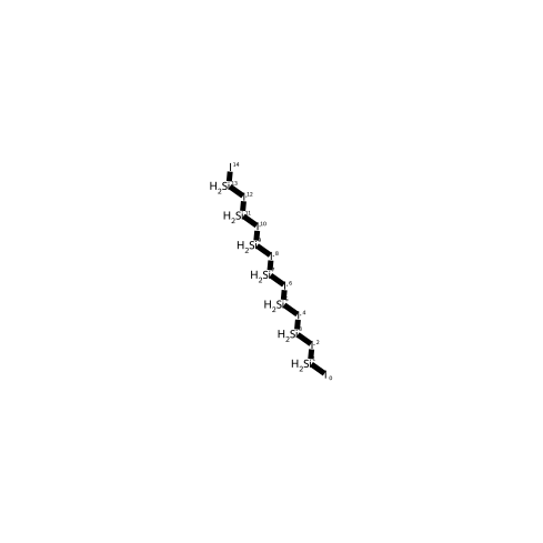 I[SiH2][I][SiH2][I][SiH2][I][SiH2][I][SiH2][I][SiH2][I][SiH2]I